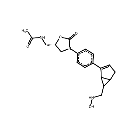 CC(=O)NC[C@H]1CN(c2ccc(C3=CCC4C(CNO)C34)cc2)C(=O)O1